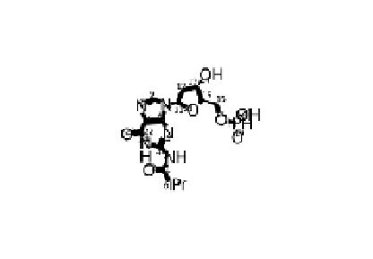 CC(C)C(=O)Nc1nc2c(ncn2[C@H]2C[C@H](O)[C@@H](CO[PH](=O)O)O2)c(=O)[nH]1